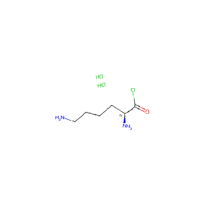 Cl.Cl.NCCCC[C@H](N)C(=O)Cl